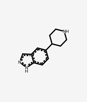 c1cc2[nH]ncc2cc1C1CCNCC1